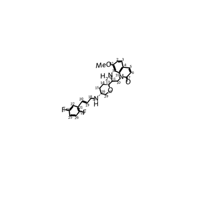 COc1ccc2ccc(=O)n(C[C@H](N)[C@@H]3CC[C@@H](NC/C=C/c4cc(F)ccc4F)CO3)c2c1